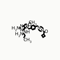 CCCC(N)Nc1nc(N)nc2cnn(Cc3ccc(CN4CCN(C(=O)C5CCC5)CC4)cc3OC)c12